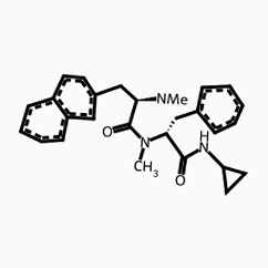 CN[C@H](Cc1ccc2ccccc2c1)C(=O)N(C)[C@H](Cc1ccccc1)C(=O)NC1CC1